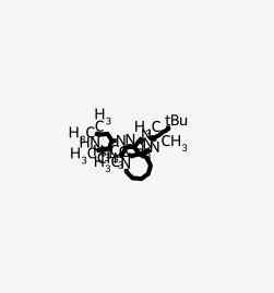 CC(C)(C)CC(C)(C)c1nc2nc(n1)C13CCCCCCN(C(C)(C)C(=NC4CC(C)(C)NC(C)(C)C4)C21[N])C3(C)C